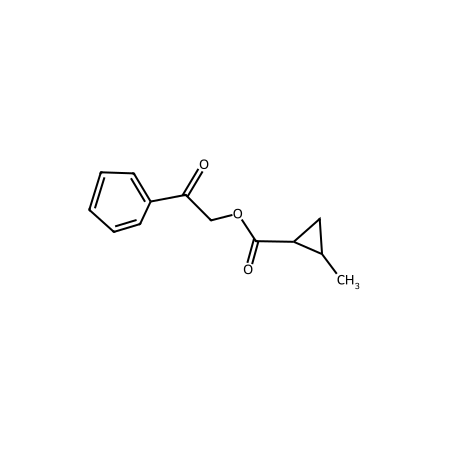 CC1CC1C(=O)OCC(=O)c1ccccc1